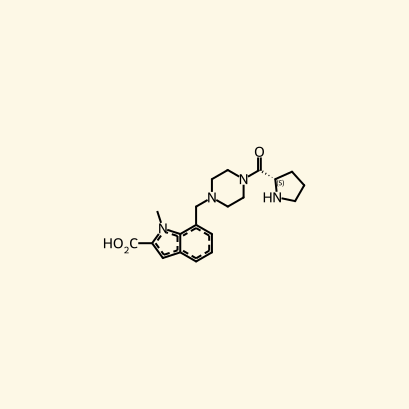 Cn1c(C(=O)O)cc2cccc(CN3CCN(C(=O)[C@@H]4CCCN4)CC3)c21